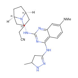 CNc1ccc2c(NC3=NNC(C)C3)nc(N[C@@H]3C[C@H]4CC[C@@H](C3)N4CCC#N)nc2c1